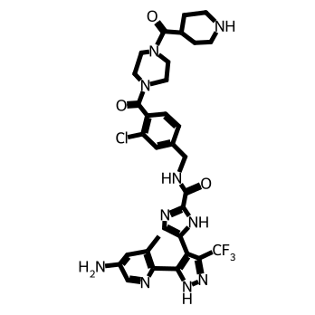 Cc1cc(N)cnc1-c1[nH]nc(C(F)(F)F)c1-c1cnc(C(=O)NCc2ccc(C(=O)N3CCN(C(=O)C4CCNCC4)CC3)c(Cl)c2)[nH]1